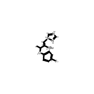 CC(Oc1ccc(F)cc1)/C(=C/n1cncn1)C(C)(C)C